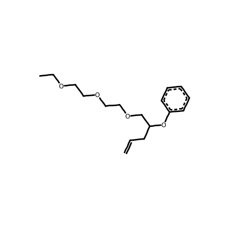 C=CCC(COCCOCCOCC)Oc1ccccc1